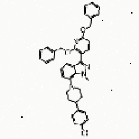 Cn1nc(-c2ccc(OCc3ccccc3)nc2OCc2ccccc2)c2cccc(N3CCC(c4ccc(Cl)cc4)CC3)c21